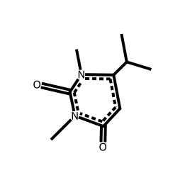 CC(C)c1cc(=O)n(C)c(=O)n1C